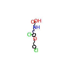 O=C(O)CCNC/C=C/c1ccc(OCCCc2ccc(Cl)cc2)cc1Cl